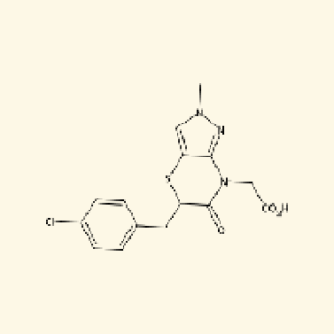 Cn1cc2c(n1)N(CC(=O)O)C(=O)C(Cc1ccc(Cl)cc1)S2